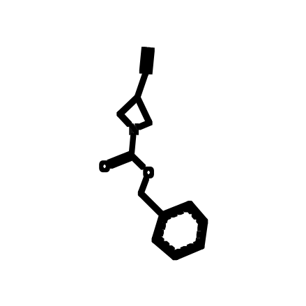 C#CC1CN(C(=O)OCc2ccccc2)C1